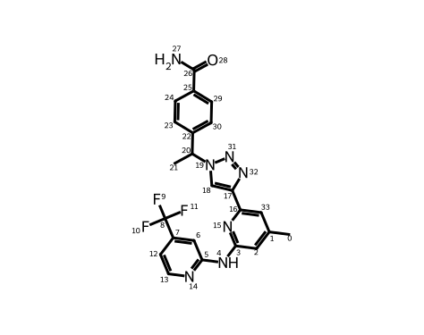 Cc1cc(Nc2cc(C(F)(F)F)ccn2)nc(-c2cn(C(C)c3ccc(C(N)=O)cc3)nn2)c1